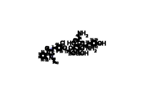 CCC/N=C1\S/C(=C\c2ccc(OC[C@@H](CO)OC3O[C@H](CO)[C@@H](OC(=O)[C@@H](N)Cc4ccc(O)cc4)[C@H](OC(=O)CCN)[C@H]3O)c(Cl)c2)C(=O)N1c1ccccc1C